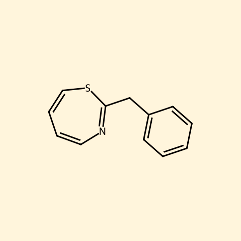 C1=CN=C(Cc2ccccc2)SC=C1